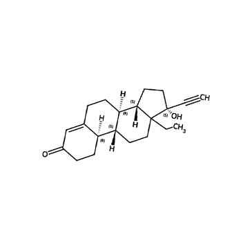 C#C[C@]1(O)CC[C@H]2[C@@H]3CCC4=CC(=O)CC[C@@H]4[C@H]3CCC21CC